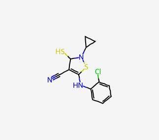 N#CC1=C(Nc2ccccc2Cl)SN(C2CC2)C1S